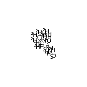 [2H]c1c([2H])c([2H])c(N(C(=O)C([2H])([2H])C([2H])([2H])[2H])C2(OC([2H])([2H])[2H])CCN(C([2H])([2H])C([2H])([2H])c3cccs3)CC2)c([2H])c1[2H]